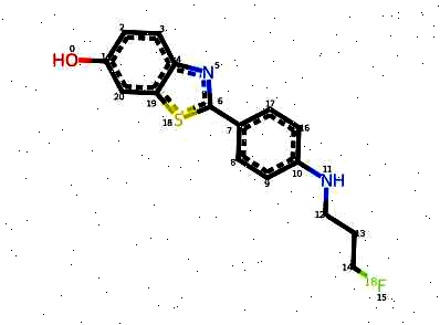 Oc1ccc2nc(-c3ccc(NCCC[18F])cc3)sc2c1